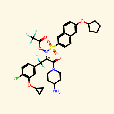 NC1CCN(C(=O)[C@@H](N(OC(=O)C(F)(F)F)S(=O)(=O)c2ccc3cc(OC4CCCC4)ccc3c2)C(F)(F)c2ccc(Cl)c(OC3CC3)c2)CC1